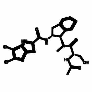 CC(=O)N[C@@H](CO)C(=O)N(C)[C@@H]1c2ccccc2C[C@H]1NC(=O)c1cc2sc(Cl)c(Cl)c2[nH]1